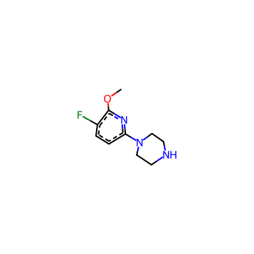 COc1nc(N2CCNCC2)ccc1F